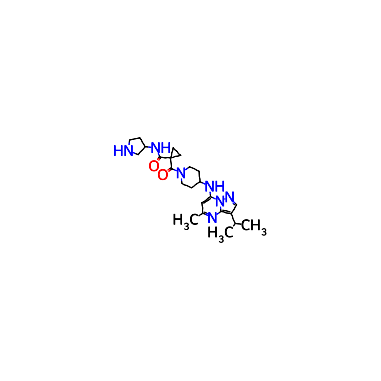 Cc1cc(NC2CCN(C(=O)C3(C(=O)NC4CCNC4)CC3)CC2)n2ncc(C(C)C)c2n1